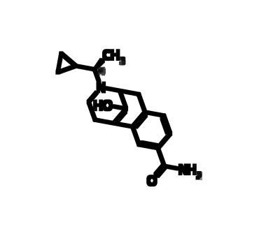 C[C@H](C1CC1)N1CCC23CCCCC2(O)C1Cc1ccc(C(N)=O)cc13